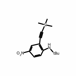 CC(C)(C)Nc1ccc([N+](=O)[O-])cc1C#C[Si](C)(C)C